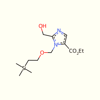 CCOC(=O)c1cnc(CO)n1COCC[Si](C)(C)C